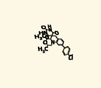 CC1CN2c3cc(-c4ccc(Cl)cc4)ccc3CC3(C(=O)NC(=O)NC3=O)C2C(C)O1